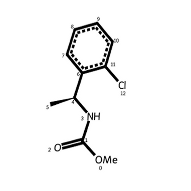 COC(=O)N[C@@H](C)c1ccccc1Cl